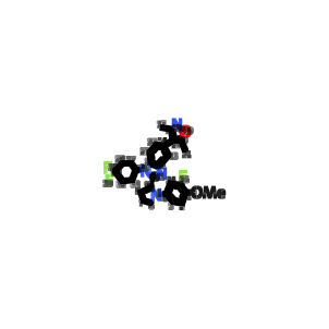 COc1ccc(N2CCC[C@H]2c2nc3cc(-c4c(C)noc4C)ccc3n2C2CCC(F)(F)CC2)cc1F